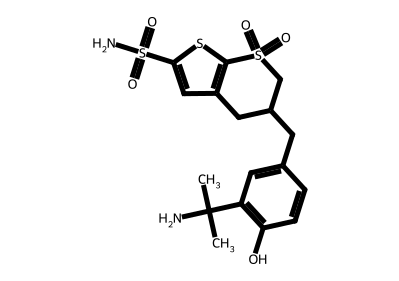 CC(C)(N)c1cc(CC2Cc3cc(S(N)(=O)=O)sc3S(=O)(=O)C2)ccc1O